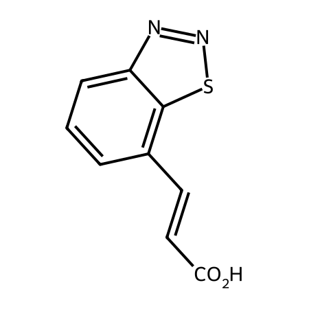 O=C(O)C=Cc1cccc2nnsc12